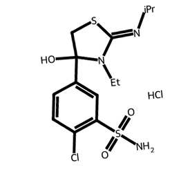 CCN1C(=NC(C)C)SCC1(O)c1ccc(Cl)c(S(N)(=O)=O)c1.Cl